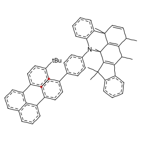 CC1C=CC2(C)C3=C1C(C)C1=C(C(C)(C)c4ccccc41)C3(C)N(c1ccc(-c3ccc(-c4cccc5cccc(-c6ccc(C(C)(C)C)cc6)c45)cc3)cc1)c1ccccc12